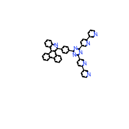 c1cncc(-c2ccc(-c3nc(-c4ccc(-c5nc6ccccc6c6c7ccccc7c7ccccc7c56)cc4)nc(-c4ccc(-c5cccnc5)nc4)n3)cn2)c1